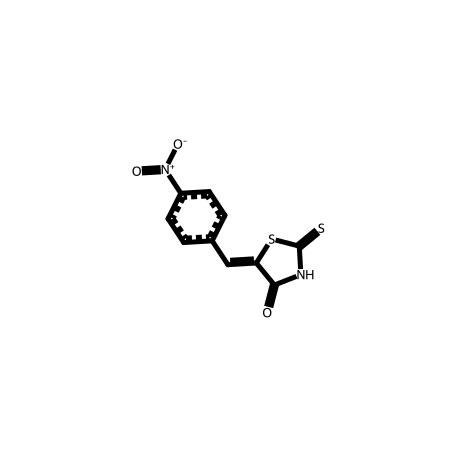 O=C1NC(=S)S/C1=C\c1ccc([N+](=O)[O-])cc1